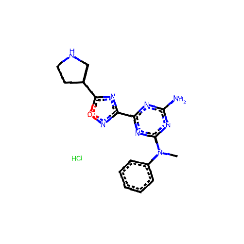 CN(c1ccccc1)c1nc(N)nc(-c2noc(C3CCNC3)n2)n1.Cl